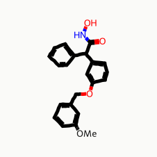 COc1cccc(COc2cccc(C(C(=O)NO)c3ccccc3)c2)c1